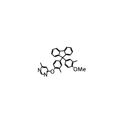 COc1ccc(C2(c3ccc(Oc4cc(C)ncn4)c(C)c3)c3ccccc3-c3ccccc32)cc1C